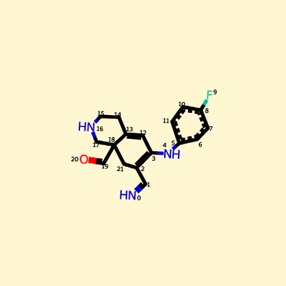 N=CC1=C(Nc2ccc(F)cc2)C=C2CCNCC2(C=O)C1